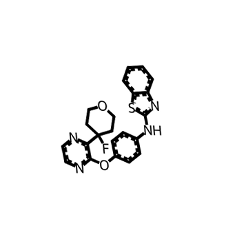 FC1(c2nccnc2Oc2ccc(Nc3nc4ccccc4s3)cc2)CCOCC1